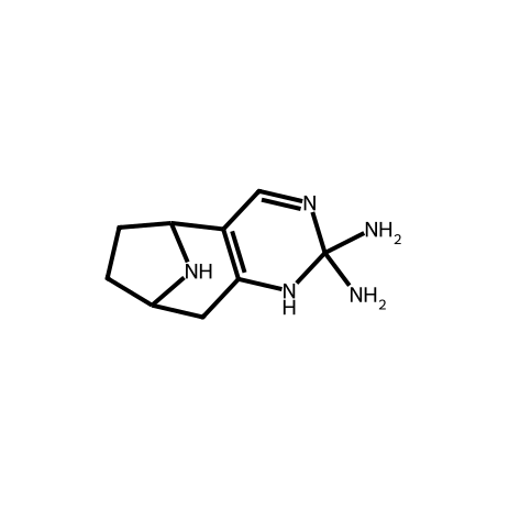 NC1(N)N=CC2=C(CC3CCC2N3)N1